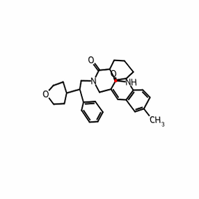 Cc1ccc2[nH]c(=O)c(CN(CC(c3ccccc3)C3CCOCC3)C(=O)C3CCCCC3)cc2c1